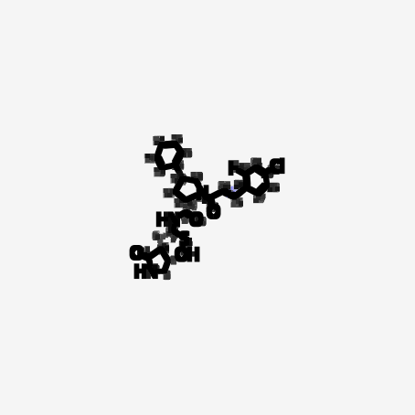 O=C1NCC[C@H]1C[C@H](NC(=O)[C@@H]1C[C@@H](c2ccccc2)CN1C(=O)/C=C/c1ccc(Cl)cc1F)SO